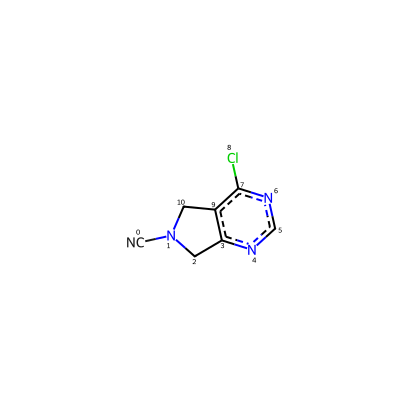 N#CN1Cc2ncnc(Cl)c2C1